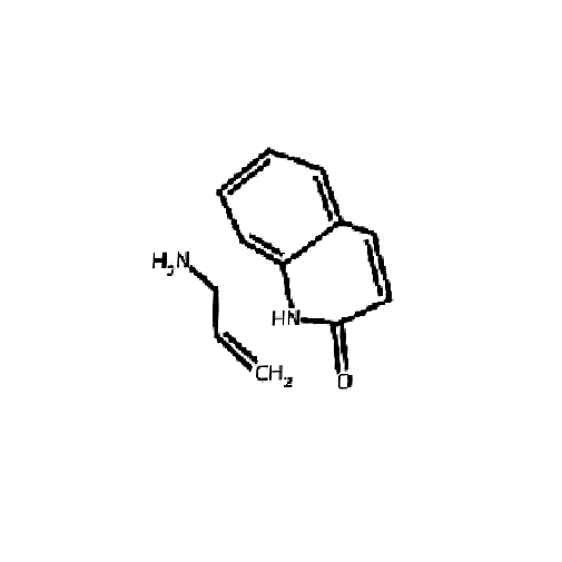 C=CCN.O=c1ccc2ccccc2[nH]1